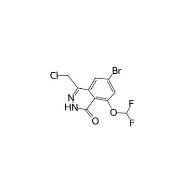 O=c1[nH]nc(CCl)c2cc(Br)cc(OC(F)F)c12